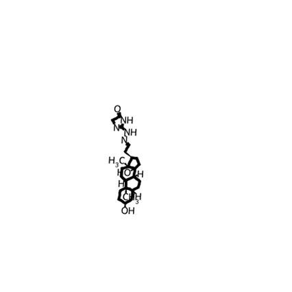 C[C@]12CC[C@H](O)C[C@H]1CC[C@@H]1[C@@H]2CC[C@]2(C)[C@@H](C/C=N/NC3=NCC(=O)N3)CC[C@]12O